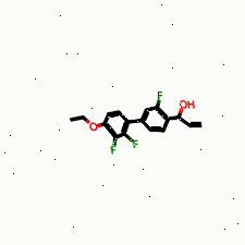 C=CC(O)c1ccc(-c2ccc(OCC)c(F)c2F)cc1F